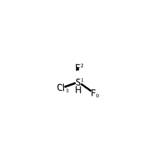 F[SH](F)Cl